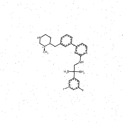 BC(B)(CNc1nccc(-c2cccc(CN3CCNC[C@@H]3C)c2)n1)c1cc(F)cc(F)c1